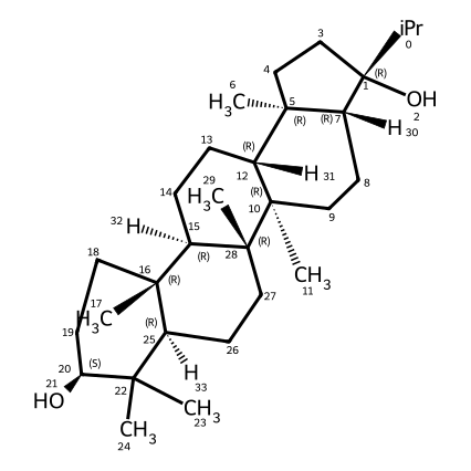 CC(C)[C@]1(O)CC[C@@]2(C)[C@H]1CC[C@]1(C)[C@@H]2CC[C@@H]2[C@@]3(C)CC[C@H](O)C(C)(C)[C@@H]3CC[C@]21C